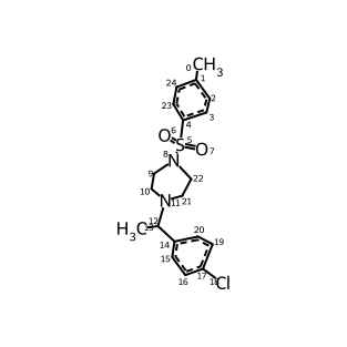 Cc1ccc(S(=O)(=O)N2CCN(C(C)c3ccc(Cl)cc3)CC2)cc1